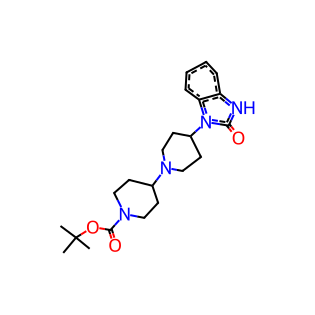 CC(C)(C)OC(=O)N1CCC(N2CCC(n3c(=O)[nH]c4ccccc43)CC2)CC1